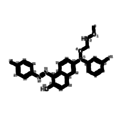 CONCON(c1cccc(I)c1)c1ccc2c(N=Nc3ccc(C)cc3)c(O)ccc2c1